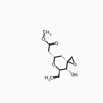 C=C[C@H]1O[C@H](CC(=O)OC)C[C@@]2(CO2)[C@@H]1O